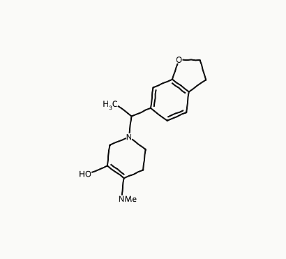 CNC1=C(O)CN(C(C)c2ccc3c(c2)OCC3)CC1